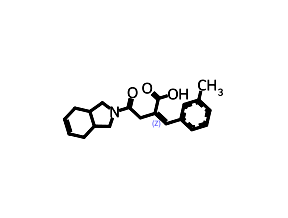 Cc1cccc(/C=C(/CC(=O)N2CC3CC=CCC3C2)C(=O)O)c1